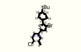 C=C/C=C(\C=C/CCl)c1cc(Br)c(-c2ccc(C(C)(C)C)cc2)s1